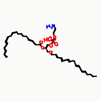 CCCCC/C=C\C/C=C\CCCCCCCC(=O)O[C@H](COCCCCCCCCCCCCCCCC)COP(=O)(O)OCCN